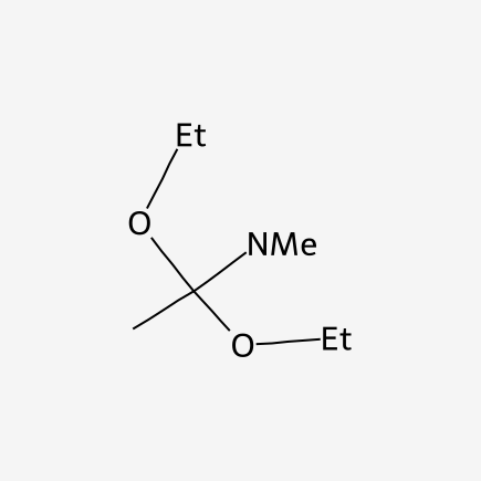 CCOC(C)(NC)OCC